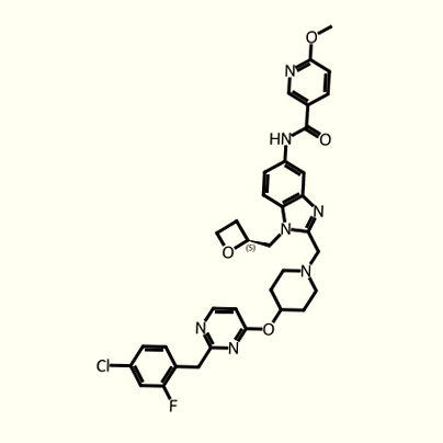 COc1ccc(C(=O)Nc2ccc3c(c2)nc(CN2CCC(Oc4ccnc(Cc5ccc(Cl)cc5F)n4)CC2)n3C[C@@H]2CCO2)cn1